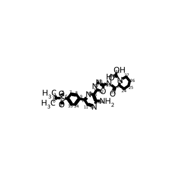 CC(C)S(=O)(=O)c1ccc(-c2cnc(N)c(-c3nnc(NC(=O)[C@@H]4CCCCN4C(=O)O)o3)n2)cc1